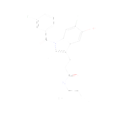 Cc1c(CCC(=O)N[C@@H](C)CC(=O)O)c2cc(O)c(F)cc2n1C(=O)c1cccc(F)c1